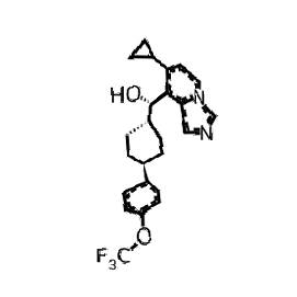 O[C@H](c1c(C2CC2)ccn2cncc12)[C@H]1CC[C@H](c2ccc(OC(F)(F)F)cc2)CC1